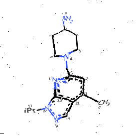 Cc1cc(N2CCC(N)CC2)nc2c1cnn2C(C)C